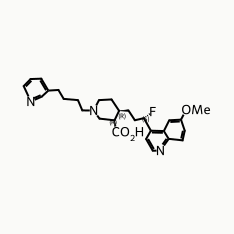 COc1ccc2nccc([C@@H](F)CC[C@@H]3CCN(CCCCc4cccnc4)C[C@@H]3C(=O)O)c2c1